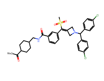 COC(=O)C1CCC(CNC(=O)c2cccc(C(=C3CN(C(c4ccc(Cl)cc4)c4ccc(Cl)cc4)C3)S(C)(=O)=O)c2)CC1